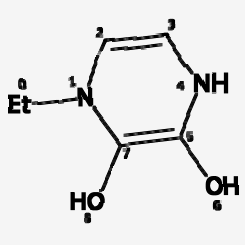 CCN1C=CNC(O)=C1O